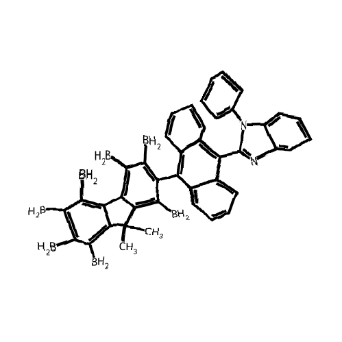 Bc1c(B)c(B)c2c(c1B)-c1c(B)c(B)c(-c3c4ccccc4c(-c4nc5ccccc5n4-c4ccccc4)c4ccccc34)c(B)c1C2(C)C